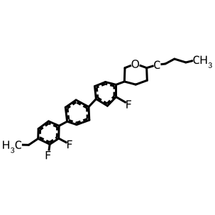 CCCCCC1CCC(c2ccc(-c3ccc(-c4ccc(CC)c(F)c4F)cc3)cc2F)CO1